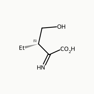 CC[C@H](CO)C(=N)C(=O)O